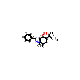 CC(C)C1CCC(C)(NCc2ccccc2)CC1O